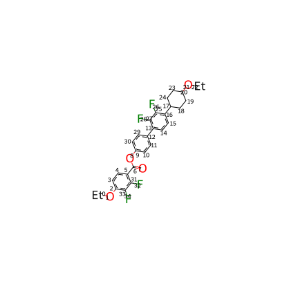 CCOc1ccc(C(=O)Oc2ccc(-c3ccc(C4CCC(OCC)CC4)c(F)c3F)cc2)c(F)c1F